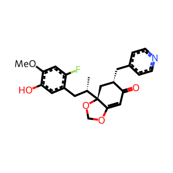 COc1cc(F)c(C[C@H](C)[C@]23C[C@H](Cc4ccncc4)C(=O)C=C2OCO3)cc1O